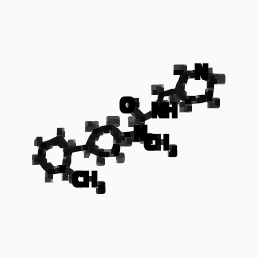 Cc1ccccc1-c1ccc(N(C)C(=O)NCc2cccnc2)cc1